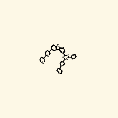 c1ccc(-c2ccc(-c3nc(-c4ccccc4)nc(-c4ccc5oc6ccc(-c7ccc(-c8cccnc8)nc7)cc6c5c4)n3)cc2)cc1